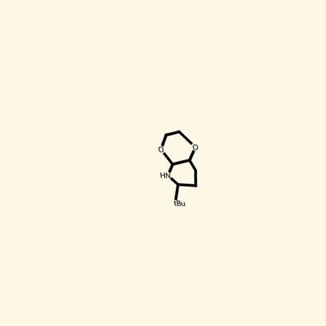 CC(C)(C)C1CCC2OCCOC2N1